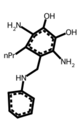 CCCc1c(N)c(O)c(O)c(N)c1CNc1ccccc1